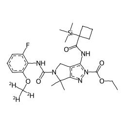 [2H]C([2H])([2H])Oc1cccc(F)c1NC(=O)N1Cc2c(nn(C(=O)OCC)c2NC(=O)C2([Si](C)(C)C)CCC2)C1(C)C